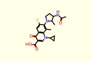 CC(=O)NC1CCN(c2c(F)cc3c(=O)c(C(=O)O)cn(C4CC4)c3c2C)C1C